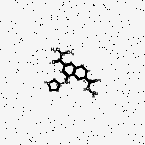 CN(C)C(=O)c1cc2c(c(N[C@@H]3CCOC3)c1)CN(C(=O)OC(C)(C)C)CC2